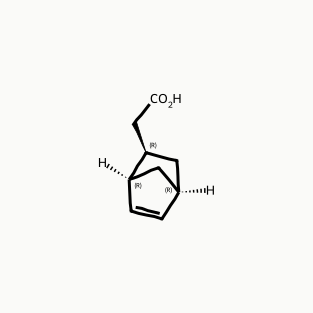 O=C(O)C[C@H]1C[C@H]2C=C[C@@H]1C2